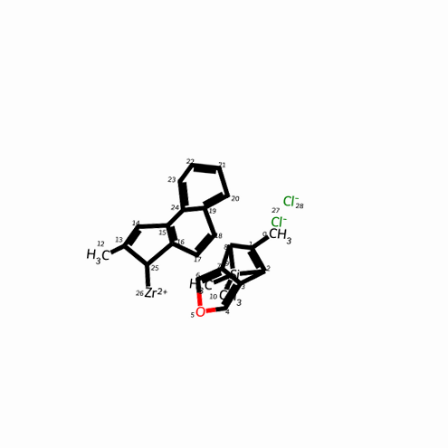 CC1=C2c3cocc3C1[Si]2(C)C.CC1=Cc2c(ccc3ccccc23)[CH]1[Zr+2].[Cl-].[Cl-]